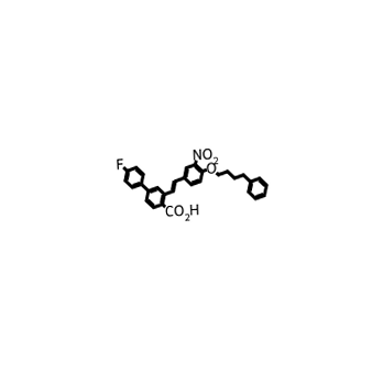 O=C(O)c1ccc(-c2ccc(F)cc2)cc1C=Cc1ccc(OCCCCc2ccccc2)c([N+](=O)[O-])c1